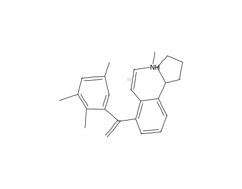 C=C(c1cc(C)cc(C)c1C)c1cccc(C2CCCC2)c1/C=C\NC